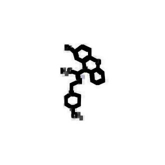 C/C(=N\CN1CCN(C)CC1)N1c2ccccc2Oc2ccc(Br)cc21